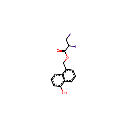 O=C(OCc1cccc2c(O)cccc12)C(I)CI